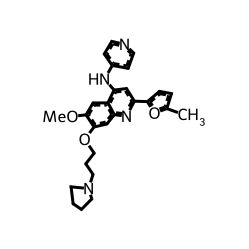 COc1cc2c(Nc3ccncc3)cc(-c3ccc(C)o3)nc2cc1OCCCN1CCCC1